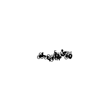 C#C[C@]1(CO)O[C@@H](n2cnc3c(NC(=O)OC(C)(C)CC(=O)OCc4oc(=O)oc4C)nc(F)nc32)C[C@@H]1OC(=O)C12CCC(CC1)C2